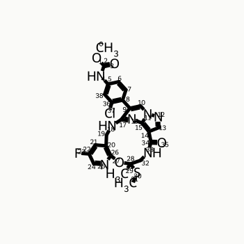 COC(=O)Nc1ccc(-c2cn3ncc4c3nc2NCc2cc(F)cnc2OC(C)(SC)CNC4=O)c(Cl)c1